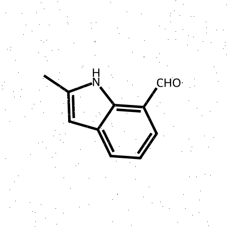 Cc1cc2cccc([C]=O)c2[nH]1